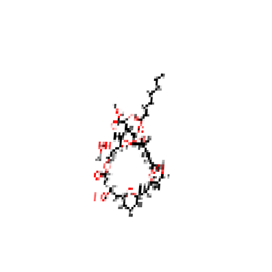 CCCCCCCC(=O)O[C@H]1/C(=C/C(=O)OC)C[C@H]2C[C@H](CO)OC(=O)C[C@H](O)CC3CCC[C@H](C[C@@H]4CCO[C@H](/C=C/C(C)(C)[C@]1(O)O2)O4)O3